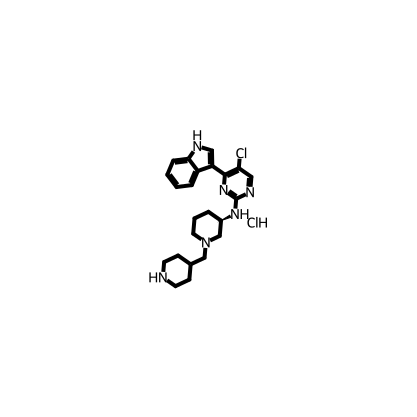 Cl.Clc1cnc(N[C@@H]2CCCN(CC3CCNCC3)C2)nc1-c1c[nH]c2ccccc12